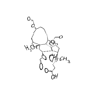 CC1CC[C@@H](OC=O)CCC[C@@H](OC=O)[C@@]2(C)C3CCC([C@H](C)CCC(=O)O)[C@@]3(C)[C@@H](OC=O)C[C@H]12